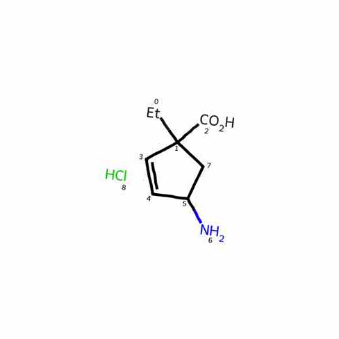 CCC1(C(=O)O)C=CC(N)C1.Cl